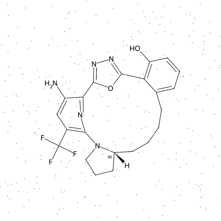 Nc1cc(C(F)(F)F)c2nc1-c1nnc(o1)-c1c(O)cccc1CCCC[C@@H]1CCCN21